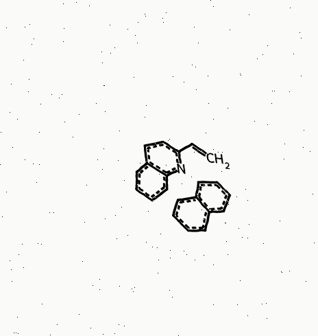 C=Cc1ccc2ccccc2n1.c1ccc2ccccc2c1